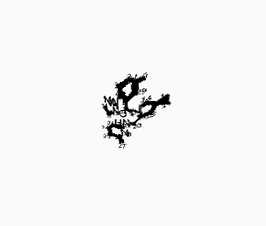 Cc1ccc(-n2nccn2)c(C(=O)N2CC3(CC3)C[C@H]2CNc2cccc(C)n2)c1